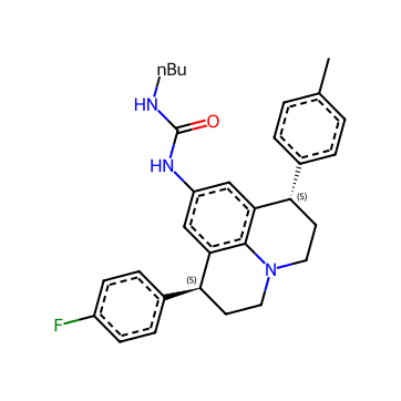 CCCCNC(=O)Nc1cc2c3c(c1)[C@H](c1ccc(F)cc1)CCN3CC[C@H]2c1ccc(C)cc1